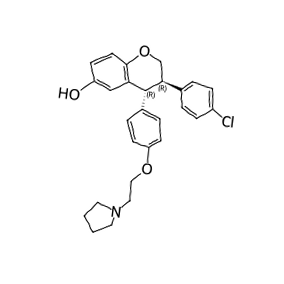 Oc1ccc2c(c1)[C@@H](c1ccc(OCCN3CCCC3)cc1)[C@H](c1ccc(Cl)cc1)CO2